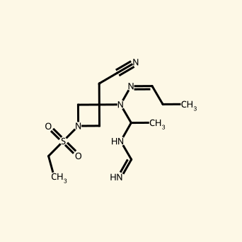 CC/C=N\N(C(C)NC=N)C1(CC#N)CN(S(=O)(=O)CC)C1